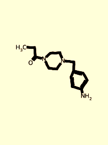 CCC(=O)N1CCN(Cc2ccc(N)cc2)CC1